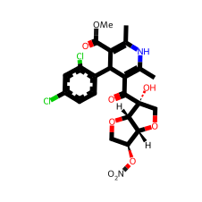 COC(=O)C1=C(C)NC(C)=C(C(=O)[C@@]2(O)CO[C@@H]3[C@@H](O[N+](=O)[O-])CO[C@@H]32)C1c1ccc(Cl)cc1Cl